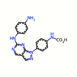 Nc1ccc(Nc2ncc3cnn(-c4ccc(NC(=O)O)cc4)c3n2)cc1